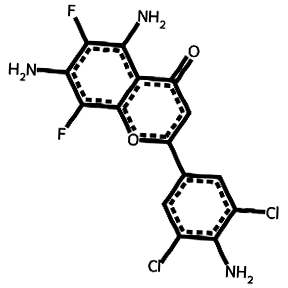 Nc1c(Cl)cc(-c2cc(=O)c3c(N)c(F)c(N)c(F)c3o2)cc1Cl